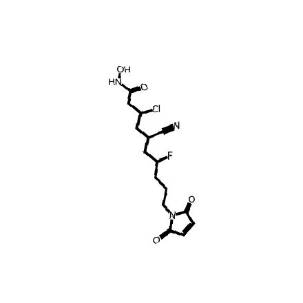 N#CC(CC(F)CCCN1C(=O)C=CC1=O)CC(Cl)CC(=O)NO